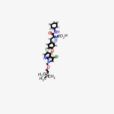 C[Si](C)(C)CCOCn1cc(Br)c2c(Oc3ccc(CC(NC(=O)O)C(=O)NC4CCCCC4)cc3F)ccnc21